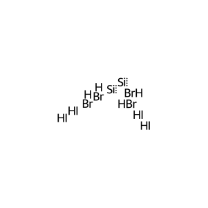 Br.Br.Br.Br.I.I.I.I.[Si].[Si]